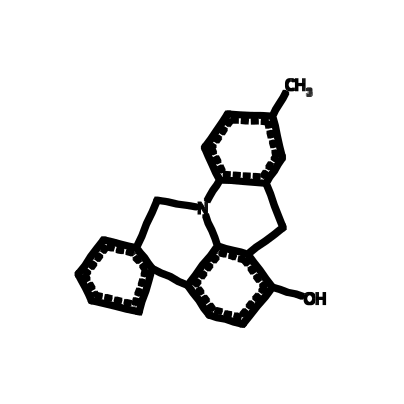 Cc1ccc2c(c1)Cc1c(O)ccc3c1N2Cc1ccccc1-3